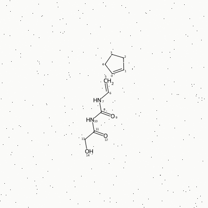 C1=CCCC1.C=CNC(=O)NC(=O)CO